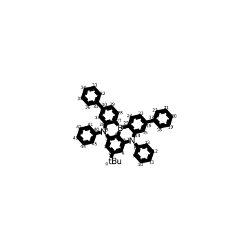 CC(C)(C)c1cc2c3c(c1)N(c1ccccc1)c1cc(-c4ccccc4)ccc1B3c1ccc(-c3ccccc3)cc1N2c1ccccc1